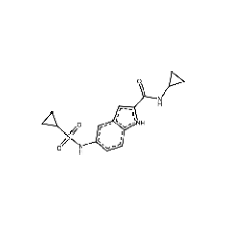 O=C(NC1CC1)c1cc2cc(NS(=O)(=O)C3CC3)ccc2[nH]1